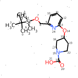 CC(C)(C)[Si](C)(C)OCc1cccc(OC2CCN(C(=O)O)CC2)n1